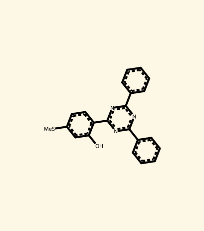 CSc1ccc(-c2nc(-c3ccccc3)nc(-c3ccccc3)n2)c(O)c1